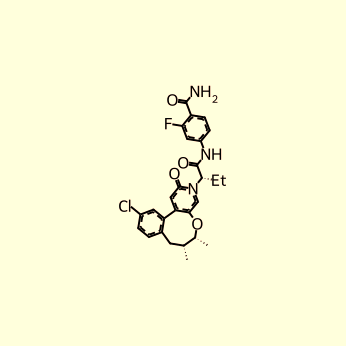 CC[C@@H](C(=O)Nc1ccc(C(N)=O)c(F)c1)n1cc2c(cc1=O)-c1cc(Cl)ccc1C[C@@H](C)[C@@H](C)O2